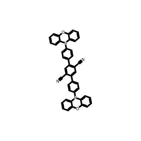 N#Cc1cc(-c2ccc(N3c4ccccc4Oc4ccccc43)cc2)c(C#N)cc1-c1ccc(N2c3ccccc3Oc3ccccc32)cc1